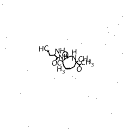 C#CCC(N)C(=O)NC1(C)C/C=C\CC(C)(C(C)=O)NCC1=O